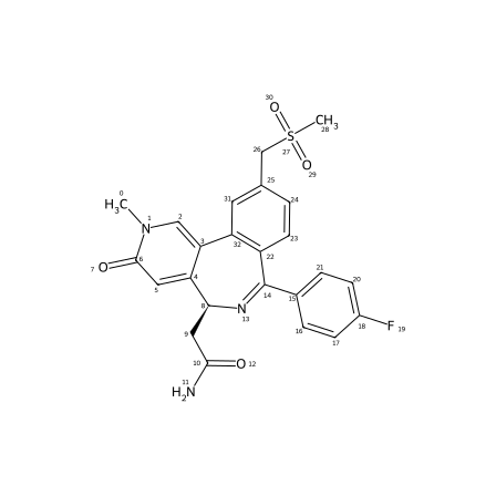 Cn1cc2c(cc1=O)[C@H](CC(N)=O)N=C(c1ccc(F)cc1)c1ccc(CS(C)(=O)=O)cc1-2